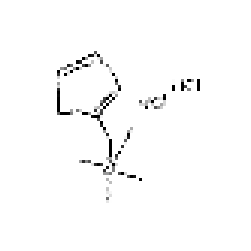 Cl.Cl.[CH3][Zr]([CH3])([CH3])([CH3])[C]1=CC=CC1